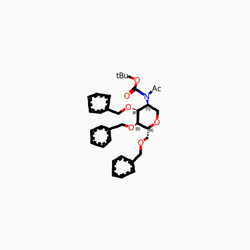 CC(=O)N(C(=O)OC(C)(C)C)[C@H]1CO[C@H](COCc2ccccc2)[C@H](OCc2ccccc2)[C@@H]1OCc1ccccc1